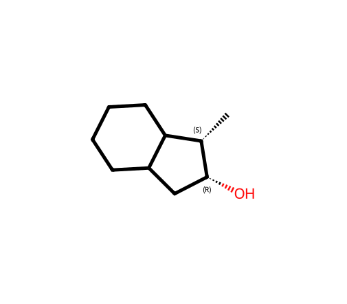 C[C@H]1C2CCCCC2C[C@H]1O